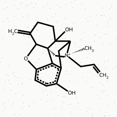 C=CC[N@@+]1(C)CC[C@@]23c4c5ccc(O)c4CC1C2(O)CCC(=C)C3O5